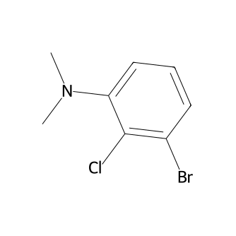 CN(C)c1cccc(Br)c1Cl